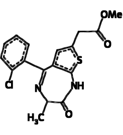 COC(=O)Cc1cc2c(s1)NC(=O)C(C)N=C2c1ccccc1Cl